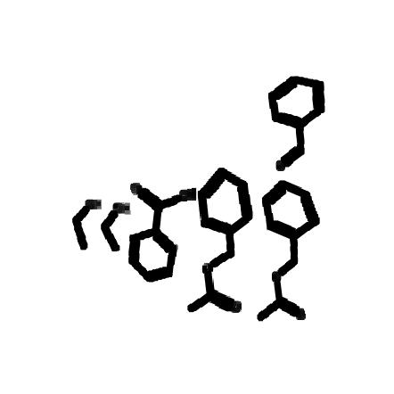 CC(=O)OCc1ccccc1.CC(=O)OCc1ccccc1.CCO.CCO.O=C(O)c1ccccc1.O=Cc1ccccc1